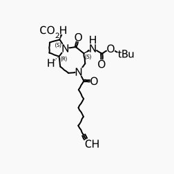 C#CCCCCCC(=O)N1CC[C@H]2CC[C@@H](C(=O)O)N2C(=O)[C@@H](NC(=O)OC(C)(C)C)C1